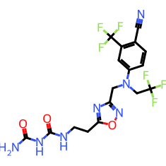 N#Cc1ccc(N(Cc2noc(CCNC(=O)NC(N)=O)n2)CC(F)(F)F)cc1C(F)(F)F